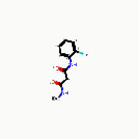 CCC(C)NC(=O)CC(=O)Nc1ccccc1F